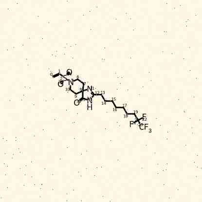 C=CS(=O)(=O)N1CCC2(CC1)N=C(CCCCCCCC(F)(F)C(F)(F)F)NC2=O